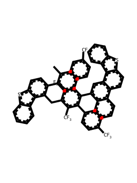 Cc1ccccc1-c1ccc2sc3ccccc3c2c1Cc1c(C(F)(F)F)c(-c2ccc(C(F)(F)F)cc2)c(-c2cc3c(ccc4sc5ccccc5c43)c3ccccc23)c(-c2ccc(C(F)(F)F)cc2)c1C(F)(F)F